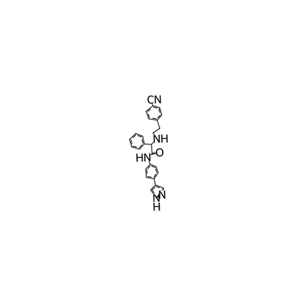 N#Cc1ccc(CCNC(C(=O)Nc2ccc(-c3cn[nH]c3)cc2)c2ccccc2)cc1